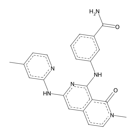 Cc1ccnc(Nc2cc3ccn(C)c(=O)c3c(Nc3cccc(C(N)=O)c3)n2)c1